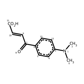 CN(C)c1ccc(C(=O)C=CC(=O)O)cc1